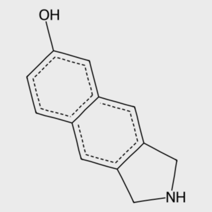 Oc1ccc2cc3c(cc2c1)CNC3